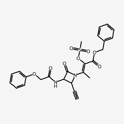 C#CC1C(NC(=O)COc2ccccc2)C(=O)N1C(C)=C(OS(C)(=O)=O)C(=O)OCc1ccccc1